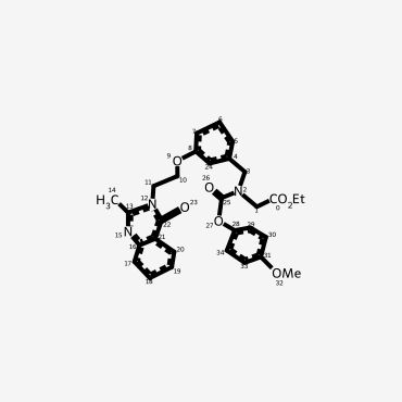 CCOC(=O)CN(Cc1cccc(OCCn2c(C)nc3ccccc3c2=O)c1)C(=O)Oc1ccc(OC)cc1